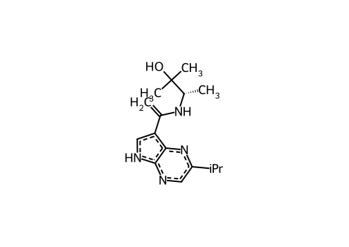 C=C(N[C@@H](C)C(C)(C)O)c1c[nH]c2ncc(C(C)C)nc12